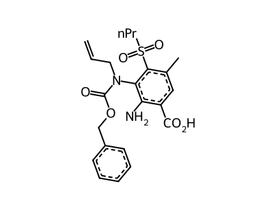 C=CCN(C(=O)OCc1ccccc1)c1c(N)c(C(=O)O)cc(C)c1S(=O)(=O)CCC